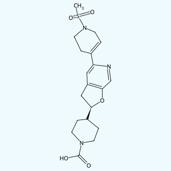 CS(=O)(=O)N1CC=C(c2cc3c(cn2)O[C@@H](C2CCN(C(=O)O)CC2)C3)CC1